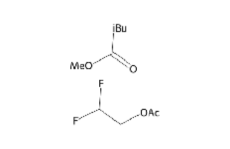 CC(=O)OCC(F)F.CCC(C)C(=O)OC